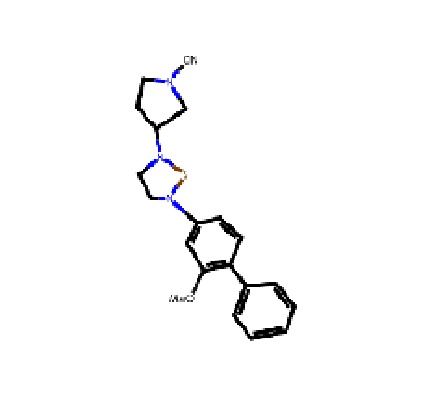 COc1cc(N2CCN(C3CCN(C#N)C3)S2)ccc1-c1ccccc1